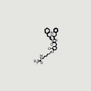 BC(=O)NCCCCCCOC1=C(Cl)C=C(Cc2nc3c(Cc4ccccc4)[nH]c(CC4=CCCC=C4)cn-3c2=O)CC1